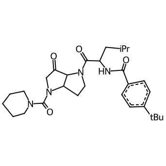 CC(C)CC(NC(=O)c1ccc(C(C)(C)C)cc1)C(=O)N1CCC2C1C(=O)CN2C(=O)N1CCCCC1